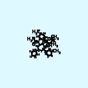 Cc1cccc(C2CC(c3ccccc3)CC(N(C(N)=O)c3cccc(C)c3)C(=O)N2NC(=O)CC(C)(C)C)c1